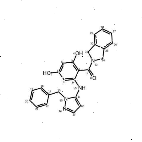 O=C(c1c(O)cc(O)cc1Nc1ccnn1Cc1ccccc1)N1Cc2ccccc2C1